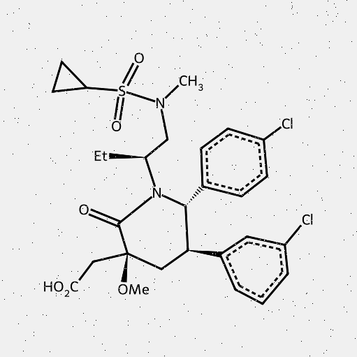 CC[C@@H](CN(C)S(=O)(=O)C1CC1)N1C(=O)[C@](CC(=O)O)(OC)C[C@H](c2cccc(Cl)c2)[C@H]1c1ccc(Cl)cc1